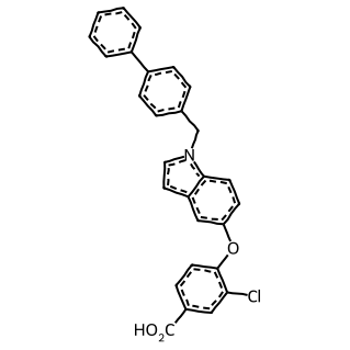 O=C(O)c1ccc(Oc2ccc3c(ccn3Cc3ccc(-c4ccccc4)cc3)c2)c(Cl)c1